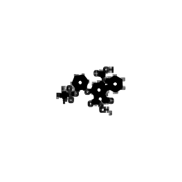 CN1C(=O)c2c(Oc3ccccc3OS(=O)(=O)C(F)(F)F)cc3c(c2C1=O)c1ccccc1n3C(=O)O